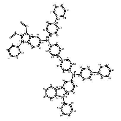 C=Cc1c(C=C)n(-c2ccccc2)c2ccc(N(c3ccc(-c4ccccc4)cc3)c3ccc(-c4ccc(N(c5ccc(-c6ccccc6)cc5)c5ccc6c(c5)c5ccccc5n6-c5ccccc5)cc4)cc3)cc12